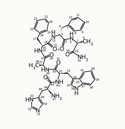 C[C@H](NC(=O)[C@@H](Cc1ccccc1)NC(=O)[C@H](Cc1ccccc1)NC(=O)[C@H](C)NC(=O)[C@@H](Cc1c[nH]c2ccccc12)NC(=O)[C@@H](N)Cc1cnc[nH]1)C(N)=O